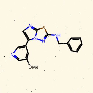 COc1cncc(-c2cnc3sc(NCc4ccccc4)nn23)c1